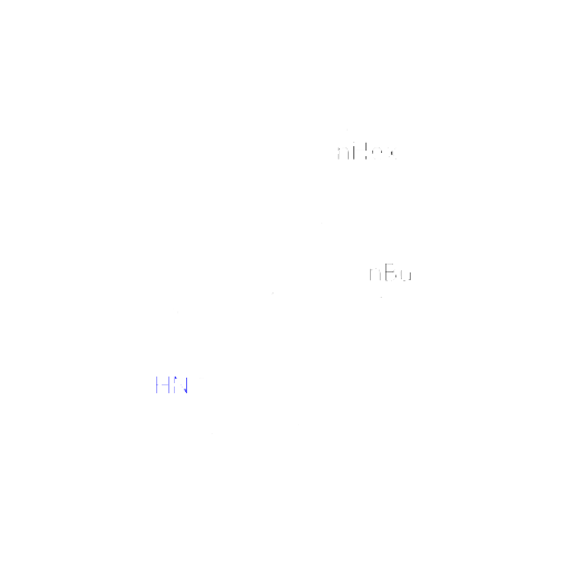 CCCCCCC(CCCC)CC1CCCNC1